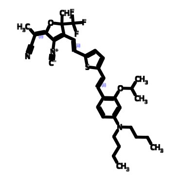 [C-]#[N+]C1=C(/C=C/c2ccc(/C=C/c3ccc(N(CCCC)CCCC)cc3OC(C)C)s2)C(C)(C(F)(F)F)O/C1=C(\C)C#N